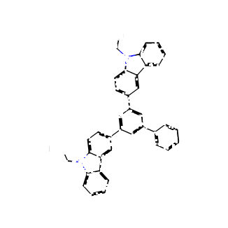 CCn1c2ccccc2c2cc(-c3cc(-c4ccccc4)cc(-c4ccc5c(c4)c4ccccc4n5CC)c3)ccc21